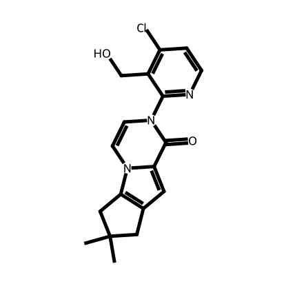 CC1(C)Cc2cc3c(=O)n(-c4nccc(Cl)c4CO)ccn3c2C1